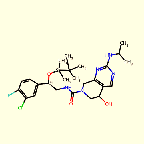 CC(C)Nc1ncc2c(n1)CN(C(=O)NC[C@H](O[Si](C)(C)C(C)(C)C)c1ccc(F)c(Cl)c1)CC2O